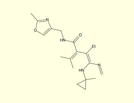 C=N/C(NC1(C)CC1)=C(\CC)C(C(=O)NCc1coc(C)n1)=C(C)C